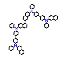 c1ccc(N(c2ccc(-c3ccc(N(c4ccccc4)c4ccc5ccc(-c6cccc7cc(N(c8ccccc8)c8ccc(-c9ccc(N(c%10ccccc%10)c%10ccc%11ccccc%11c%10)cc9)cc8)ccc67)cc5c4)cc3)cc2)c2ccc3ccccc3c2)cc1